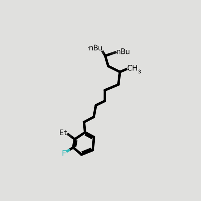 CCC[CH]C(CCCC)CC(C)CCCCCCc1cccc(F)c1CC